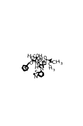 C[C@@H](OCC12CCC(CC1)OC2)[C@H](NC(=O)[C@@H]1CN(c2cccc3ncsc23)CC12CN(C(=O)[C@H]1CC1(C)C)C2)C(C)(C)O